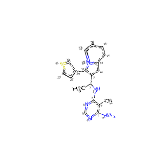 CC(Nc1ncnc(N)c1C#N)c1cc2ccccn2c1-c1ccsc1